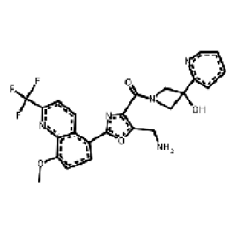 COc1ccc(-c2nc(C(=O)N3CC(O)(c4ccccn4)C3)c(CN)o2)c2ccc(C(F)(F)F)nc12